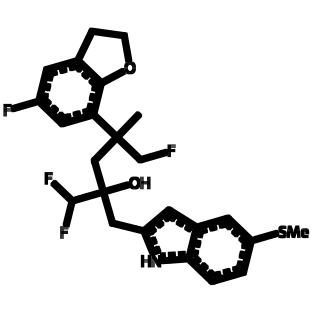 CSc1ccc2[nH]c(CC(O)(CC(C)(CF)c3cc(F)cc4c3OCC4)C(F)F)cc2c1